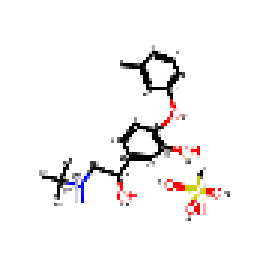 CS(=O)(=O)O.Cc1cccc(Oc2ccc(C(O)CNC(C)(C)C)cc2O)c1